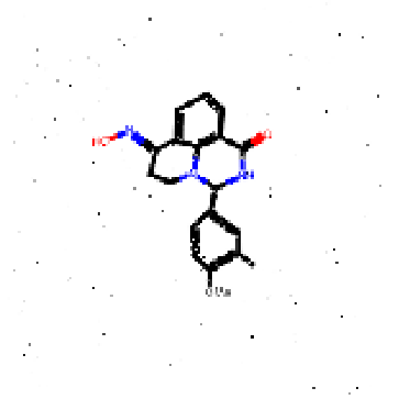 COc1ccc(C2NC(=O)c3cccc4c3N2CCC4=NO)cc1C